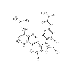 C=C(F)C(=O)Nc1ccc(-c2c(CC)[nH]c(C(N)=O)c2-c2ccc(C(=O)NCC(C)C)c(OC)c2)c(C)c1